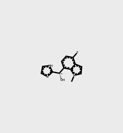 Cn1ccc2c(F)ccc([C@H](O)c3ncc[nH]3)c21